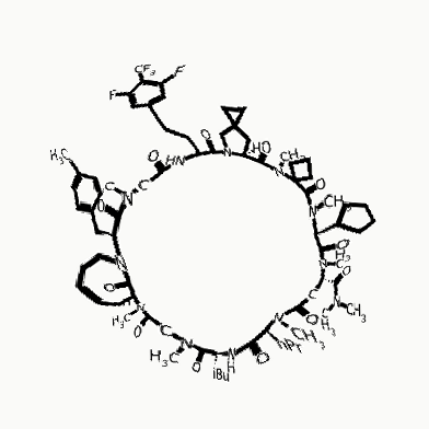 CCC[C@H]1C(=O)N[C@@H]([C@@H](C)CC)C(=O)N(C)CC(=O)N(C)[C@H]2C/C=C\CCN(C2=O)[C@@H](Cc2ccc(C)cc2)C(=O)N(C)CC(=O)NC(CCc2cc(F)c(C(F)(F)F)c(F)c2)C(=O)N2CC3(CC3)C[C@H]2C(=O)N(C)C2(CCC2)C(=O)N(C)[C@@H](C2CCCC2)C(=O)N(C)[C@H](C(=O)N(C)C)CC(=O)N1C